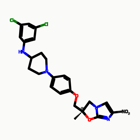 C[C@]1(COc2ccc(N3CCC(Nc4cc(Cl)cc(Cl)c4)CC3)cc2)Cn2cc([N+](=O)[O-])nc2O1